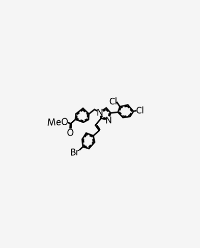 COC(=O)c1ccc(Cn2cc(-c3ccc(Cl)cc3Cl)nc2C=Cc2ccc(Br)cc2)cc1